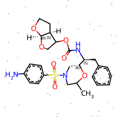 CC1CN(S(=O)(=O)c2ccc(N)cc2)C[C@H]([C@H](Cc2ccccc2)NC(=O)OC2CO[C@H]3OCC[C@@H]23)O1